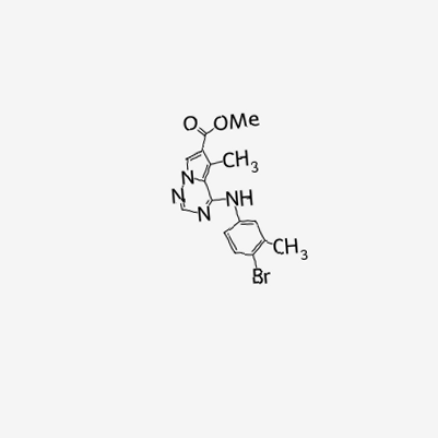 COC(=O)c1cn2ncnc(Nc3ccc(Br)c(C)c3)c2c1C